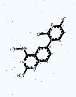 NNc1nc(N)nc2ccc(-c3ccc(Cl)nc3Cl)cc12